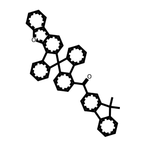 CC1(C)c2ccccc2-c2ccc(C(=O)c3cccc4c3-c3ccccc3C43c4ccccc4-c4c3ccc3c4oc4ccccc43)cc21